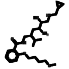 COCCCCOc1ccccc1C(=O)NC[C@@H](C[C@H](N)[C@@H](O)CNCC1CC1)C(C)C